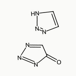 O=C1C=NN=N1.c1c[nH]nn1